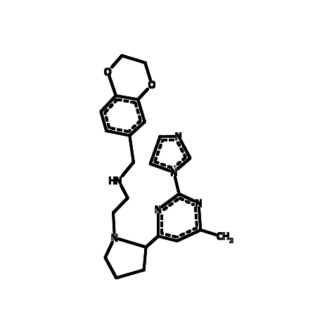 Cc1cc(C2CCCN2CCNCc2ccc3c(c2)OCCO3)nc(-n2ccnc2)n1